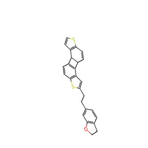 C1=CC2c3c(ccc4sc(CCc5ccc6c(c5)OCC6)cc34)C2c2ccsc21